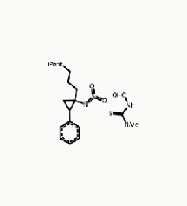 CCCC(C)CCCC1(N=S(=O)=O)CC1c1ccccc1.CNC(=S)NC=O